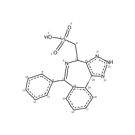 O=S(=O)(O)CC1N=C(c2ccccc2)c2ccccc2-c2n[nH]nc21